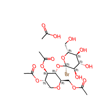 CC(=O)O.CC(=O)OC[C@H]1O[CH][C@H](OC(C)=O)[C@@H](OC(C)=O)[C@@H]1O[C@@]1(Br)O[C@H](CO)[C@@H](O)[C@H](O)[C@H]1O